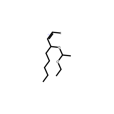 CCCCCC(/C=C\I)OC(C)OCC